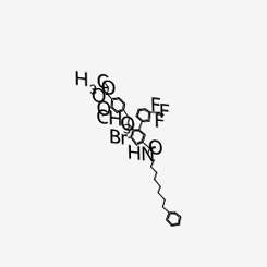 COC(=O)c1ccc(COc2c(Br)cc(C(=O)NCCCCCCCCc3ccccc3)cc2-c2cccc(C(F)(F)F)c2)cc1OC